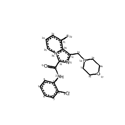 O=C(Nc1ccccc1Cl)c1nc(CN2CCOCC2)c2c(F)cccn12